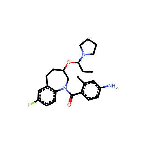 CCC(OC1CCc2cc(F)ccc2N(C(=O)c2ccc(N)cc2C)C1)N1CCCC1